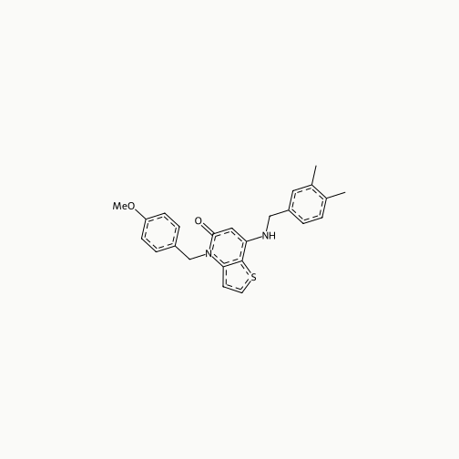 COc1ccc(Cn2c(=O)cc(NCc3ccc(C)c(C)c3)c3sccc32)cc1